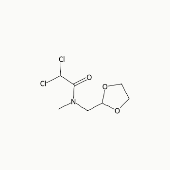 CN(CC1OCCO1)C(=O)C(Cl)Cl